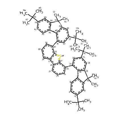 CC(C)(C)c1ccc2c(c1)C(C)(C)c1cc(C(C)(C)C)cc(-c3cccc4c3sc3c(-c5cc(C(C)(C)C)cc6c5-c5ccc(C(C)(C)C)cc5C6(C)C)cccc34)c1-2